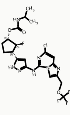 CC(C)NC(=O)O[C@H]1CC[C@@H](c2cc(Nc3nc(Cl)cc4nc(COC(F)(F)F)cn34)n[nH]2)[C@@H]1F